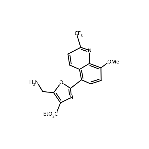 CCOC(=O)c1nc(-c2ccc(OC)c3nc(C(F)(F)F)ccc23)oc1CN